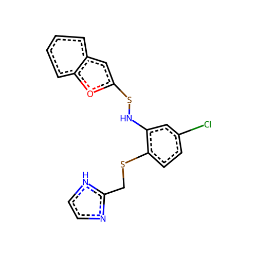 Clc1ccc(SCc2ncc[nH]2)c(NSc2cc3ccccc3o2)c1